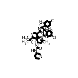 CCOc1cc(C(C)(C)C)ncc1C1=N[C@@](C)(c2ccc(Cl)cc2)C(C)(c2ccc(Cl)cc2)N1C(=O)N1CCC(NC(=O)Nc2cccnc2)CC1